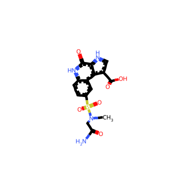 CN(CC(N)=O)S(=O)(=O)c1ccc2[nH]c(=O)c3[nH]cc(C(=O)O)c3c2c1